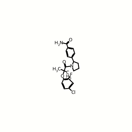 CC(C)(Oc1ccc(Cl)cc1F)C(=O)N1CCCC1c1ccc(C(N)=O)cc1